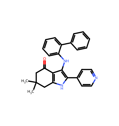 CC1(C)CC(=O)c2c([nH]c(-c3ccncc3)c2Nc2ccccc2-c2ccccc2)C1